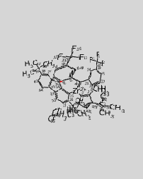 CC1=[C]([Zr+2](=[C](c2cccc(C(F)(F)F)c2)c2cccc(C(F)(F)F)c2)[c]2c(C(C)(C)C)ccc3c2Cc2cc(C(C)(C)C)ccc2-3)C(C)C=C1[Si](C)(C)C.[Cl-].[Cl-]